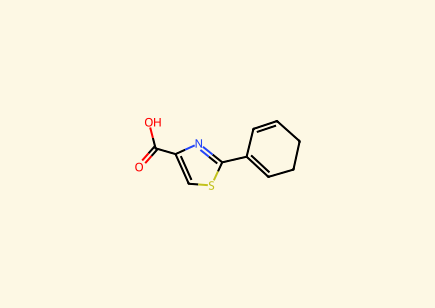 O=C(O)c1csc(C2=CCCC=C2)n1